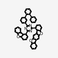 c1ccc(-c2ccccc2-c2cccc(-c3nc(-c4cccc5oc6ccccc6c45)nc(-c4cccc5oc6cc7c(cc6c45)oc4ccccc47)n3)c2)cc1